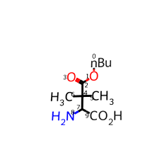 CCCCOC(=O)C(C)(C)C(N)C(=O)O